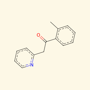 Cc1ccccc1C(=O)Cc1ccccn1